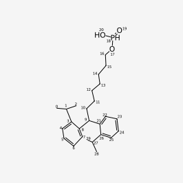 CC(C)c1ccccc1C(CCCCCCCO[PH](=O)O)c1ccccc1C(C)C